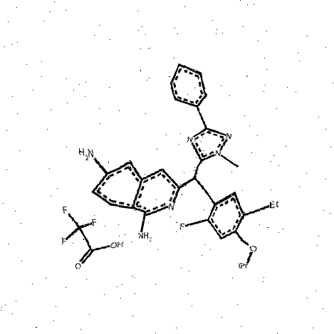 CCc1cc(C(c2cc3cc(N)ccc3c(N)n2)c2nc(-c3ccccc3)nn2C)c(F)cc1OC(C)C.O=C(O)C(F)(F)F